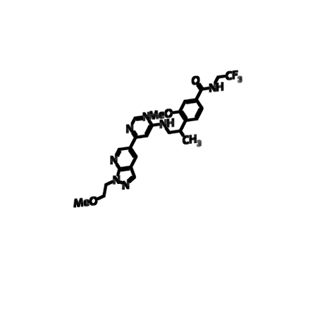 COCCn1ncc2cc(-c3cc(NCC(C)c4ccc(C(=O)NCC(F)(F)F)cc4OC)ncn3)cnc21